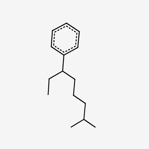 CCC(CCCC(C)C)c1ccccc1